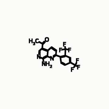 CC(=O)c1cnc(N)c2nc(-c3ccc(C(F)(F)F)cc3C(F)(F)F)ccc12